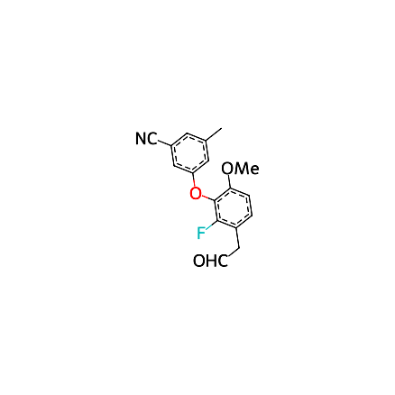 COc1ccc(CC=O)c(F)c1Oc1cc(C)cc(C#N)c1